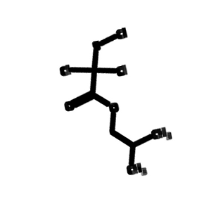 CC(C)COC(=O)C(Cl)(Cl)SCl